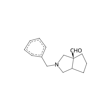 O=C[C@@]12CCCC1CN(Cc1ccccc1)C2